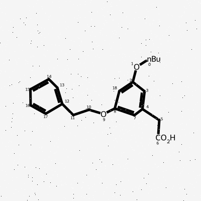 CCCCOc1cc(CC(=O)O)cc(OCCc2ccccc2)c1